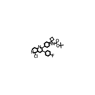 CC(C)(C)OC(=O)NC1(c2ccc(-c3nc4ccnc(Cl)c4cc3-c3ccc(F)cc3)cc2)CCC1